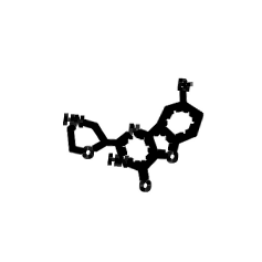 O=c1[nH]c(C2CNCCO2)nc2c1oc1ccc(Br)cc12